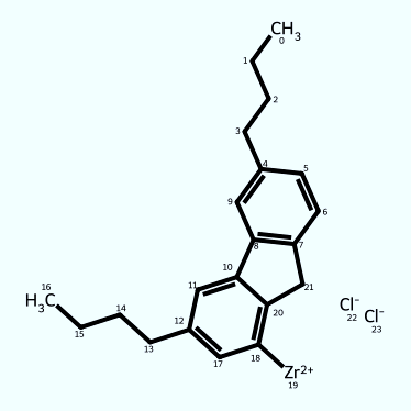 CCCCc1ccc2c(c1)-c1cc(CCCC)c[c]([Zr+2])c1C2.[Cl-].[Cl-]